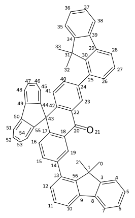 CC1(C)c2ccccc2-c2cccc(-c3ccc4c(c3)C(=O)c3cc(-c5cccc6c5C(C)(C)c5ccccc5-6)ccc3C43c4ccccc4-c4ccccc43)c21